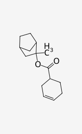 CC1(OC(=O)C2CC=CCC2)CC2CCC1C2